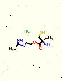 CC(=N)NCCOC(=O)[C@](C)(N)CS.Cl